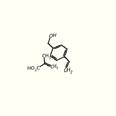 C=C(C)C(=O)O.C=Cc1ccc(CO)cc1